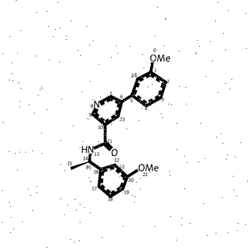 COc1cccc(-c2cncc(C(=O)N[C@H](C)c3cccc(OC)c3)c2)c1